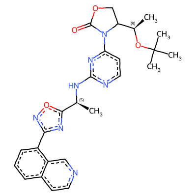 C[C@H](Nc1nccc(N2C(=O)OCC2[C@@H](C)OC(C)(C)C)n1)c1nc(-c2cccc3ccncc23)no1